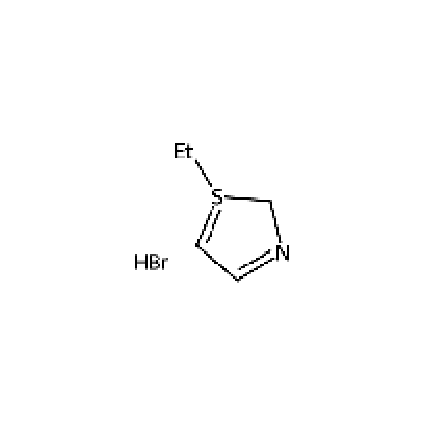 Br.CCS1=CC=NC1